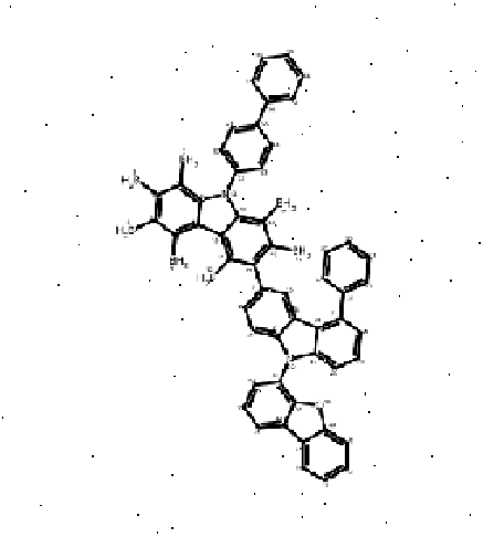 Bc1c(B)c(B)c2c(c1B)c1c(B)c(-c3ccc4c(c3)c3c(-c5ccccc5)cccc3n4-c3cccc4c3oc3ccccc34)c(B)c(B)c1n2-c1ccc(-c2ccccc2)cc1